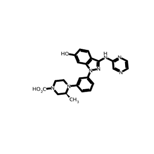 C[C@H]1CN(C(=O)O)CCN1c1cccc(-n2nc(Nc3cnccn3)c3ccc(O)cc32)c1